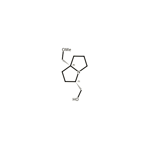 COC[C@]12CCCN1[C@H](CO)CC2